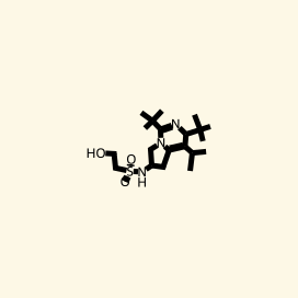 CC(C)C1=C2CC(NS(=O)(=O)CCO)CN2C(C(C)(C)C)=NC1C(C)(C)C